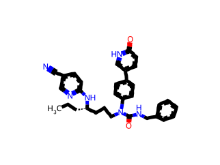 CCC[C@@H](CCCN(C(=O)NCc1ccccc1)c1ccc(-c2ccc(=O)[nH]c2)cc1)Nc1ccc(C#N)cn1